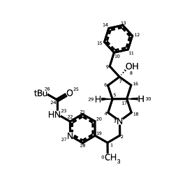 CC(CN1C[C@@H]2C[C@@](O)(Cc3ccccc3)C[C@@H]2C1)c1ccc(NC(=O)C(C)(C)C)nc1